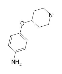 Nc1ccc(OC2CC[N]CC2)cc1